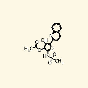 CC(=O)Oc1c(NS(C)(=O)=O)oc(-c2ccc3ccccc3n2)c1O